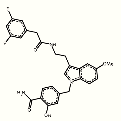 COc1ccc2c(c1)c(CCNC(=O)Cc1cc(F)cc(F)c1)cn2Cc1ccc(C(N)=O)c(O)c1